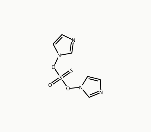 O=S(=S)(On1ccnc1)On1ccnc1